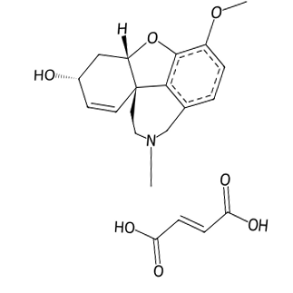 COc1ccc2c3c1O[C@H]1C[C@@H](O)C=C[C@@]31CCN(C)C2.O=C(O)/C=C/C(=O)O